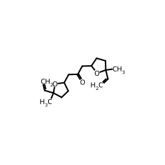 C=CC1(C)CCC(CC(=O)CC2CCC(C)(C=C)O2)O1